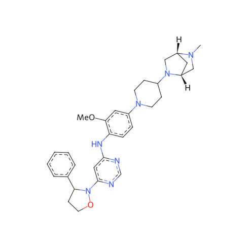 COc1cc(N2CCC(N3C[C@H]4C[C@@H]3CN4C)CC2)ccc1Nc1cc(N2OCCC2c2ccccc2)ncn1